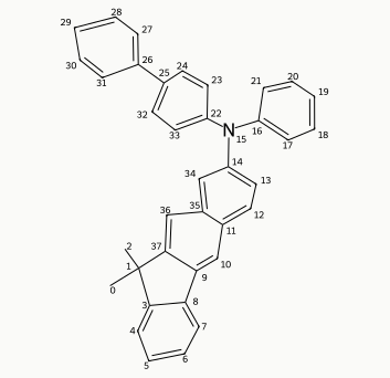 CC1(C)c2ccccc2-c2cc3ccc(N(c4ccccc4)c4ccc(-c5ccccc5)cc4)cc3cc21